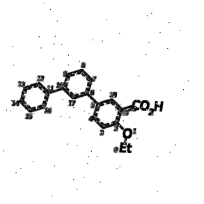 CCOc1ccc(-c2cccc(-c3ccccc3)c2)cc1C(=O)O